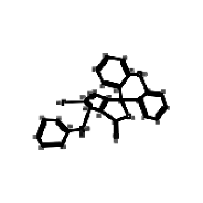 O=C1OC2(c3ccccc3Oc3ccccc32)c2ccc(F)c(Nc3ccccc3)c21